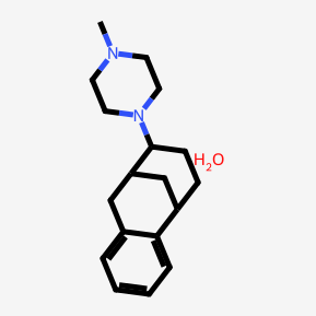 CN1CCN(C2CCC3CC2Cc2ccccc23)CC1.O